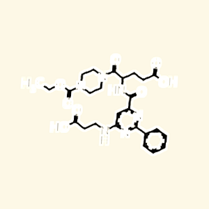 CCOC(=O)N1CCN(C(=O)C(CCC(=O)O)NC(=O)c2cc(NCCC(=O)O)nc(-c3ccccc3)n2)CC1